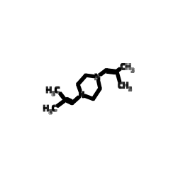 CC(C)=CN1CCN(C=C(C)C)CC1